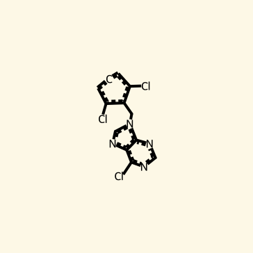 Clc1cccc(Cl)c1Cn1cnc2c(Cl)ncnc21